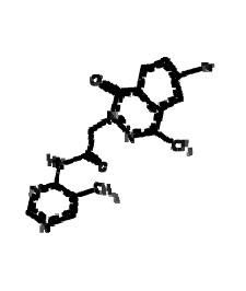 Cc1cncnc1NC(=O)Cn1nc(C(F)(F)F)c2cc(Br)ccc2c1=O